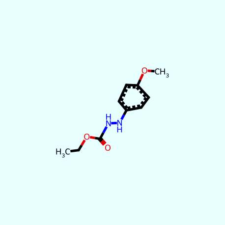 CCOC(=O)NNc1ccc(OC)cc1